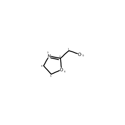 [O]CC1=NCCO1